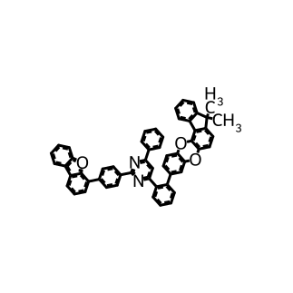 CC1(C)c2ccccc2-c2c1ccc1c2Oc2ccc(-c3ccccc3-c3cc(-c4ccccc4)nc(-c4ccc(-c5cccc6c5oc5ccccc56)cc4)n3)cc2O1